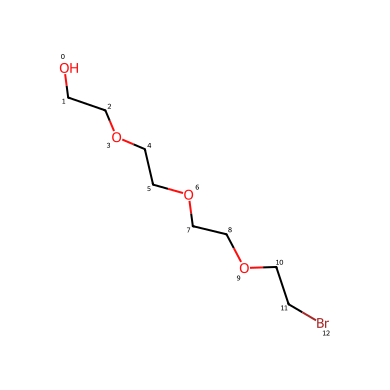 OCCOCCOCCOCCBr